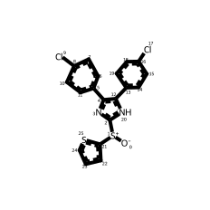 [O-][S+](c1nc(-c2ccc(Cl)cc2)c(-c2ccc(Cl)cc2)[nH]1)c1cccs1